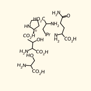 CC(C)CC(N)C(=O)O.CC(O)C(N)C(=O)O.NC(=O)CCC(N)C(=O)O.NC(CO)C(=O)O.O=C(O)[C@@H]1CCCN1